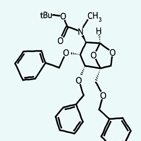 CN(C(=O)OC(C)(C)C)[C@H]1[C@H]2OC[C@](COCc3ccccc3)(O2)[C@H](OCc2ccccc2)[C@@H]1OCc1ccccc1